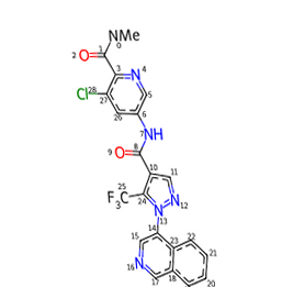 CNC(=O)c1ncc(NC(=O)c2cnn(-c3cncc4ccccc34)c2C(F)(F)F)cc1Cl